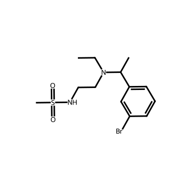 CCN(CCNS(C)(=O)=O)C(C)c1cccc(Br)c1